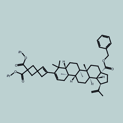 C=C(C)[C@@H]1CC[C@]2(C(=O)OCc3ccccc3)CC[C@]3(C)[C@H](CC[C@@H]4[C@@]5(C)CC=C(C6=CC7(C6)CC(C(=O)OC(C)C)(C(=O)OC(C)C)C7)C(C)(C)[C@@H]5CC[C@]43C)[C@@H]12